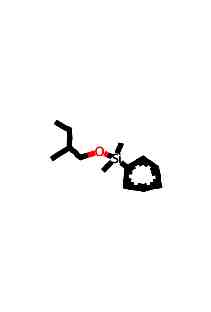 CCC(C)CO[Si](C)(C)c1ccccc1